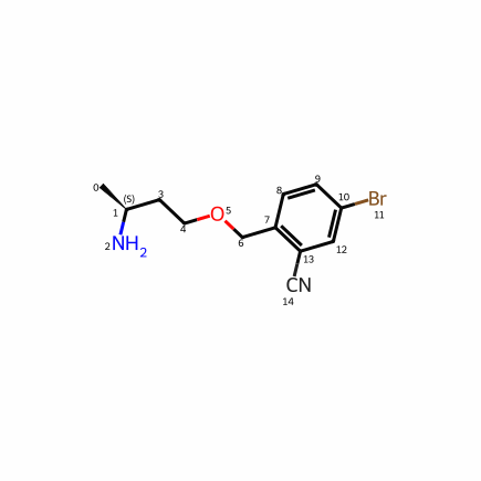 C[C@H](N)CCOCc1ccc(Br)cc1C#N